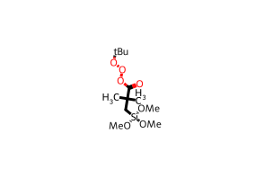 CO[Si](CC(C)(C)C(=O)OOOC(C)(C)C)(OC)OC